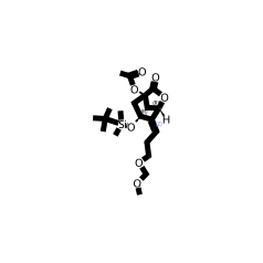 COCOCC/C=C1/[C@H]2C[C@@](OC(C)=O)(C[C@H]1O[Si](C)(C)C(C)(C)C)C(=O)O2